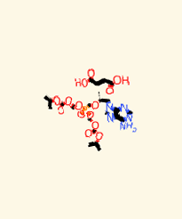 CC(C)OC(=O)OCOP(=O)(CO[C@H](C)Cn1cnc2c(N)ncnc21)OCOC(=O)OC(C)C.O=C(O)C=CC(=O)O